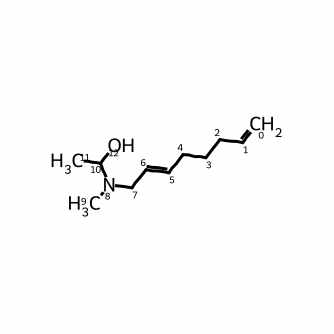 C=CCCC/C=C/CN(C)C(C)O